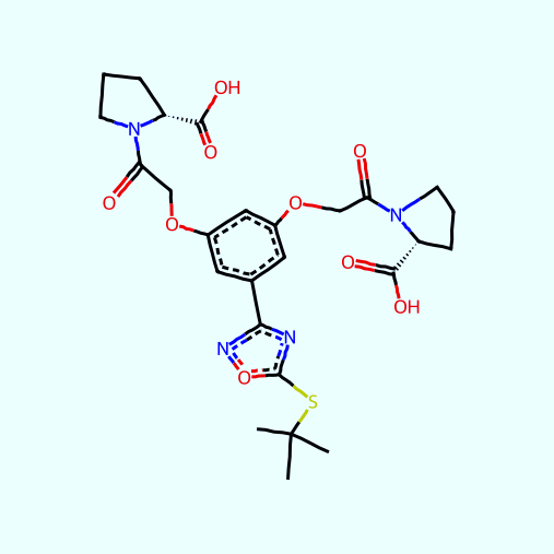 CC(C)(C)Sc1nc(-c2cc(OCC(=O)N3CCC[C@@H]3C(=O)O)cc(OCC(=O)N3CCC[C@@H]3C(=O)O)c2)no1